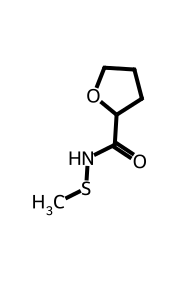 CSNC(=O)C1CCCO1